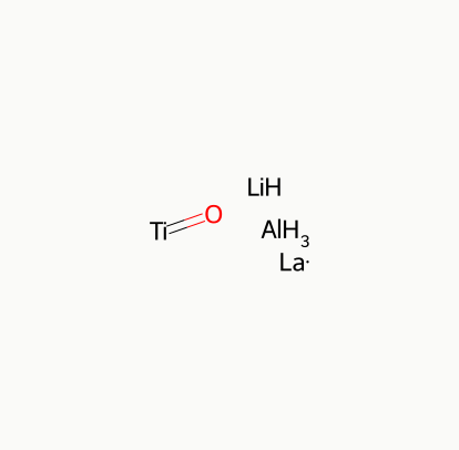 [AlH3].[La].[LiH].[O]=[Ti]